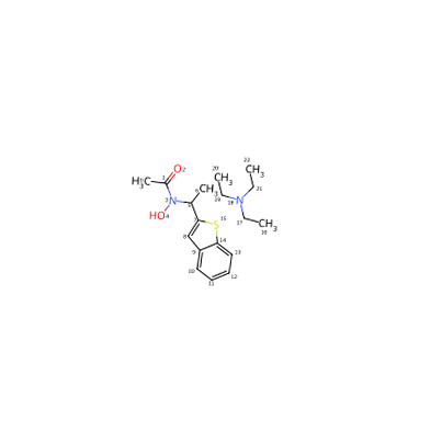 CC(=O)N(O)C(C)c1cc2ccccc2s1.CCN(CC)CC